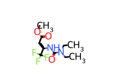 CCN(CC)C(=O)N/C(=C\C(=O)OC)C(F)(F)F